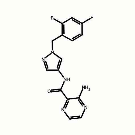 Nc1nccnc1C(=O)Nc1cnn(Cc2ccc(F)cc2F)c1